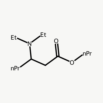 CCCOC(=O)CC(CCC)N(CC)CC